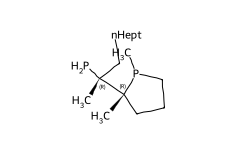 CCCCCCCC[C@@](C)(P)[C@@]1(C)CCCP1C